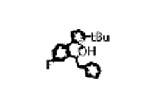 CC(C)(C)c1ccc(-c2ccc(F)cc2C(O)Cc2ccccc2)s1